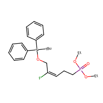 CCOP(=O)(CC/C=C(/F)CO[Si](c1ccccc1)(c1ccccc1)C(C)(C)C)OCC